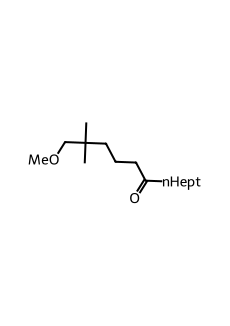 CCCCCCCC(=O)CCCC(C)(C)COC